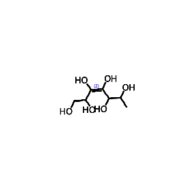 CC(O)C(O)/C(O)=C(/O)C(O)CO